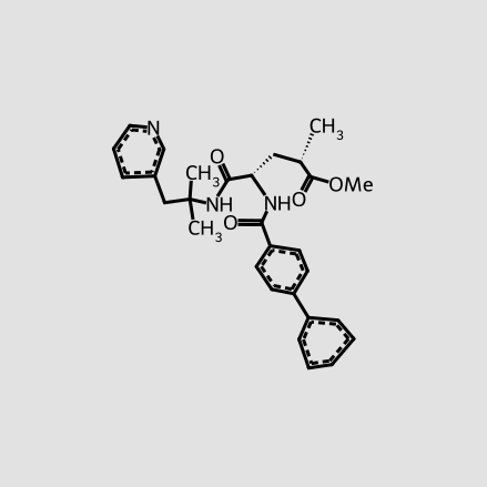 COC(=O)[C@@H](C)C[C@H](NC(=O)c1ccc(-c2ccccc2)cc1)C(=O)NC(C)(C)Cc1cccnc1